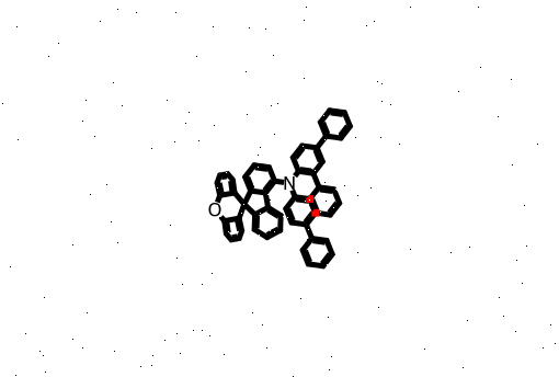 c1ccc(-c2ccc(N(c3ccc(-c4ccccc4)cc3-c3ccccc3)c3cccc4c3-c3ccccc3C43c4ccccc4Oc4ccccc43)cc2)cc1